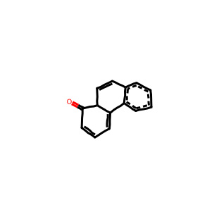 O=C1C=CC=C2c3ccccc3C=CC12